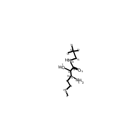 CSCC[C@H](N)C(O)C(=O)NCC(C)(C)C